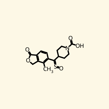 Cc1c(C(=S=O)C2CCN(C(=O)O)CC2)ccc2c1COC2=O